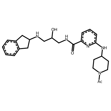 CC(=O)N1CCC(Nc2cccc(C(=O)NCC(O)CNC3Cc4ccccc4C3)n2)CC1